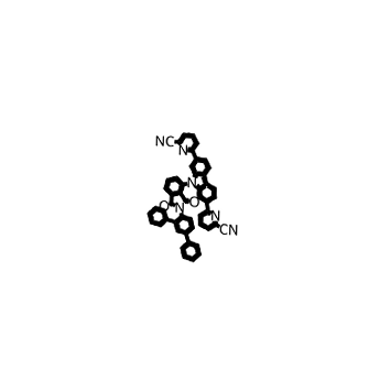 N#Cc1cccc(-c2ccc3c4ccc(-c5cccc(C#N)n5)cc4n(-c4cccc5c4C(=O)N(c4ccc(-c6ccccc6)cc4-c4ccccc4)C5=O)c3c2)n1